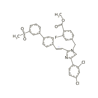 COC(=O)c1ccc(Cn2cc(-c3ccc(Cl)cc3Cl)nc2/C=C/c2ccc(-c3cccc(S(C)(=O)=O)c3)cc2)cc1F